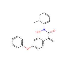 C=C(C(=O)N(O)c1ccccc1C)c1ccc(Oc2ccccc2)cc1